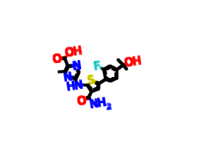 Cc1nc(Nc2sc(-c3ccc(C(C)(C)O)cc3F)cc2C(N)=O)cnc1C(=O)O